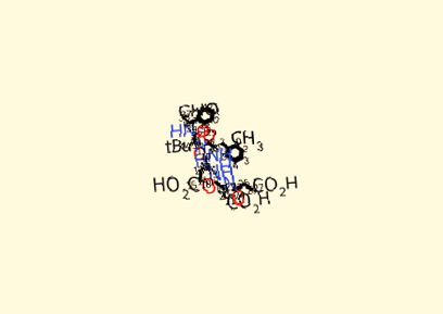 Cc1ccccc1C[C@H](NC(=O)[C@H](CCC(=O)O)NC(=O)[C@H](CC(=O)O)NC(=O)CCC(=O)O)C(=O)N[C@H](C(=O)N[C@@H](CC=O)c1ccccc1)C(C)(C)C